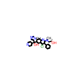 CN(CCO)c1nc2ccc(C(O)(c3ccncc3)c3cncn3C)cc2c(Cl)c1-c1ccccc1